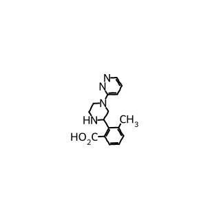 Cc1cccc(C(=O)O)c1C1CN(c2cccnn2)CCN1